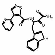 NC(=O)C(=O)C(Cc1c[nH]c2ccccc12)NC(=O)c1sncc1-c1ccccn1